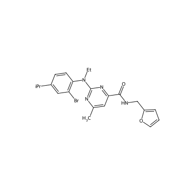 CCN(c1nc(C)cc(C(=O)NCc2ccco2)n1)c1ccc(C(C)C)cc1Br